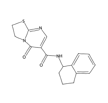 O=C(NC1CCCc2ccccc21)c1cnc2n(c1=O)CCS2